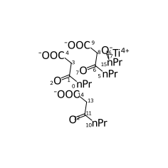 CCCC(=O)CC(=O)[O-].CCCC(=O)CC(=O)[O-].CCCC(=O)CC(=O)[O-].CCC[O-].[Ti+4]